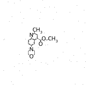 CCOC(=O)c1cc(C)nc2ccc(N3CCOCC3)cc12